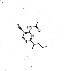 CCCC(C)c1ncc(C#N)c(NC(C)=O)n1